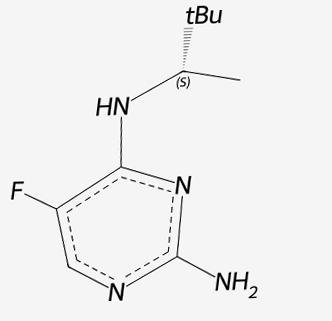 C[C@H](Nc1nc(N)ncc1F)C(C)(C)C